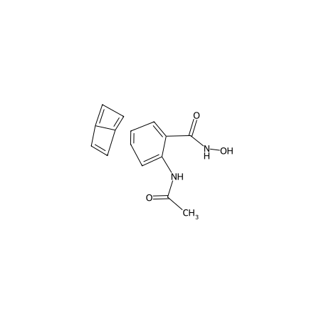 CC(=O)Nc1ccccc1C(=O)NO.c1cc2ccc1-2